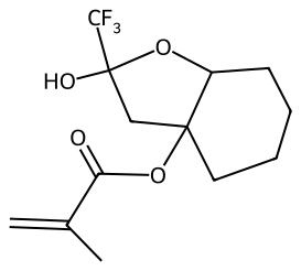 C=C(C)C(=O)OC12CCCCC1OC(O)(C(F)(F)F)C2